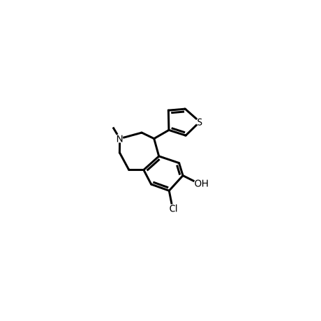 CN1CCc2cc(Cl)c(O)cc2C(c2ccsc2)C1